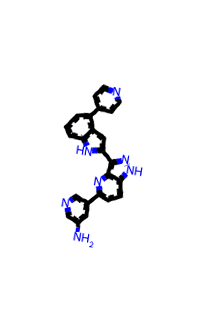 Nc1cncc(-c2ccc3[nH]nc(-c4cc5c(-c6ccncc6)cccc5[nH]4)c3n2)c1